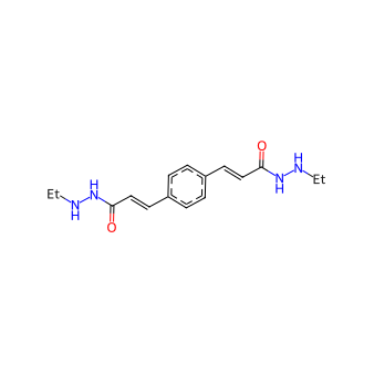 CCNNC(=O)C=Cc1ccc(C=CC(=O)NNCC)cc1